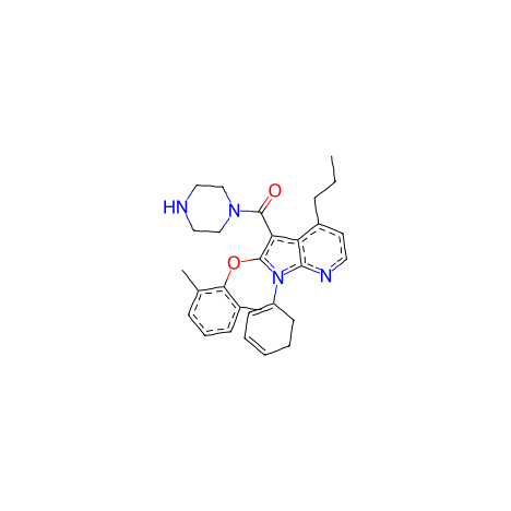 CCCc1ccnc2c1c(C(=O)N1CCNCC1)c(Oc1c(C)cccc1C)n2C1=CC=CCC1